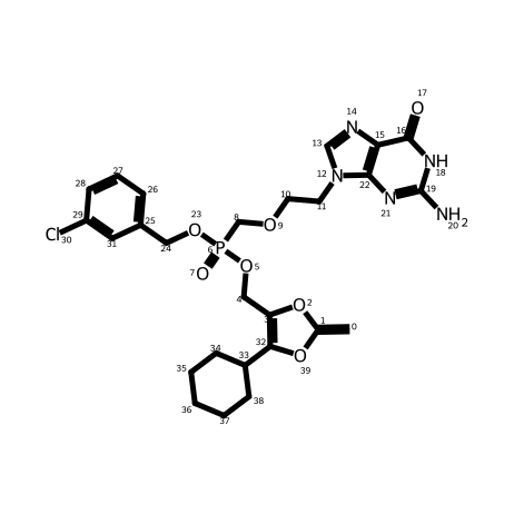 C=C1OC(COP(=O)(COCCn2cnc3c(=O)[nH]c(N)nc32)OCc2cccc(Cl)c2)=C(C2CCCCC2)O1